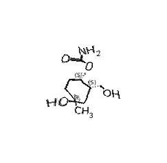 C[C@@]1(O)CC[C@H](OC(N)=O)[C@H](CO)C1